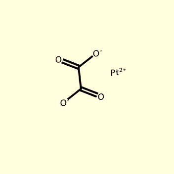 O=C([O-])C(=O)[O-].[Pt+2]